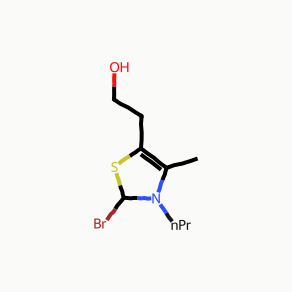 CCCN1C(C)=C(CCO)SC1Br